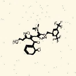 CN(C)c1c(-c2onc(CCO)c2C(=O)c2ccccc2Cl)nnn1Cc1cc(C(F)(F)F)cc(C(F)(F)F)c1